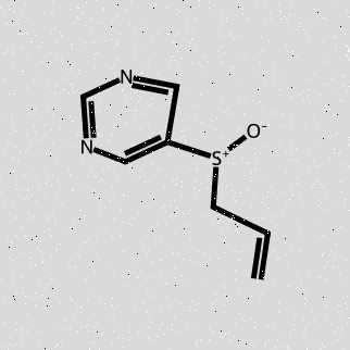 C=CC[S+]([O-])c1cncnc1